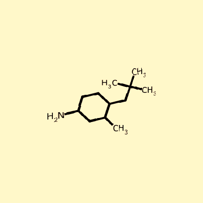 CC1CC(N)CCC1CC(C)(C)C